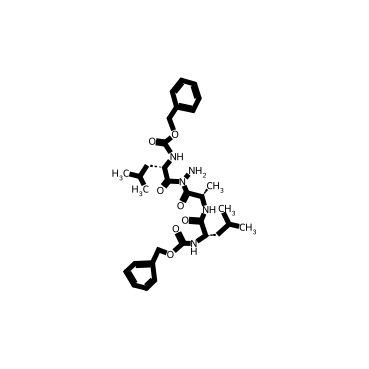 CC(C)C[C@H](NC(=O)OCc1ccccc1)C(=O)N[C@@H](C)C(=O)N(N)C(=O)[C@H](CC(C)C)NC(=O)OCc1ccccc1